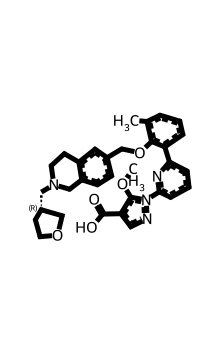 COc1c(C(=O)O)cnn1-c1cccc(-c2cccc(C)c2OCc2ccc3c(c2)CCN(C[C@H]2CCOC2)C3)n1